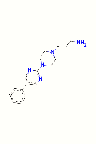 NCCCN1CCN(c2ncc(-c3ccccc3)cn2)CC1